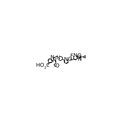 O=C(O)c1ccc2nc(CN3CCC(c4cccc(OCc5cc6nc(C7CC7)oc6nc5F)n4)CC3)n(CC3CCO3)c2c1